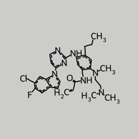 C=CC(=O)Nc1cc(Nc2nccc(-n3ccc4cc(F)c(Cl)cc43)n2)c(CCC)cc1N(C)CCN(C)C